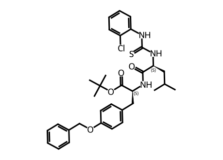 CC(C)C[C@H](NC(=S)Nc1ccccc1Cl)C(=O)N[C@@H](Cc1ccc(OCc2ccccc2)cc1)C(=O)OC(C)(C)C